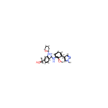 COc1c(Nc2nn(C3CCCCO3)c3cc(C(C)(C)O)ccc23)cccc1-c1cnn(C)c1